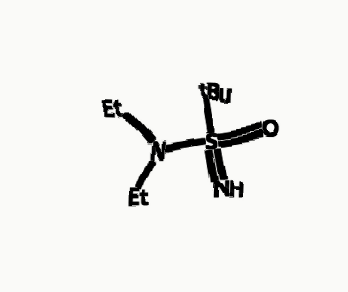 CCN(CC)S(=N)(=O)C(C)(C)C